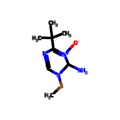 CSN1C=NC(C(C)(C)C)=[N+]([O-])C1N